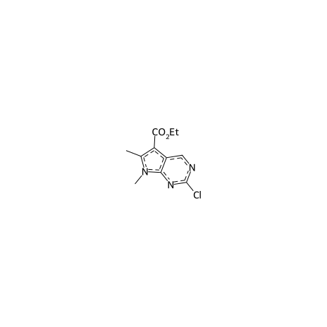 CCOC(=O)c1c(C)n(C)c2nc(Cl)ncc12